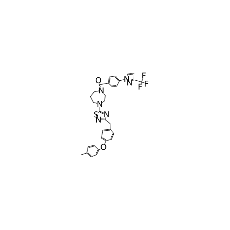 Cc1ccc(Oc2ccc(Cc3nsc(N4CCCN(C(=O)c5ccc(-n6ccc(C(F)(F)F)n6)cc5)CC4)n3)cc2)cc1